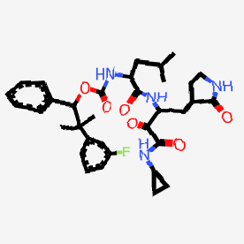 CC(C)CC(NC(=O)OC(c1ccccc1)C(C)(C)c1cccc(F)c1)C(=O)NC(CC1CCNC1=O)C(=O)C(=O)NC1CC1